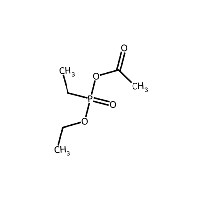 CCOP(=O)(CC)OC(C)=O